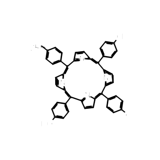 Oc1ccc(-c2c3nc(c(-c4ccc(Cl)cc4)c4ccc([nH]4)c(-c4ccc(Cl)cc4)c4nc(c(-c5ccc(Cl)cc5)c5ccc2[nH]5)C=C4)C=C3)cc1.[Zn+2]